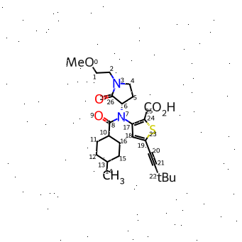 COCCN1CC[C@H](N(C(=O)C2CCC(C)CC2)c2cc(C#CC(C)(C)C)sc2C(=O)O)C1=O